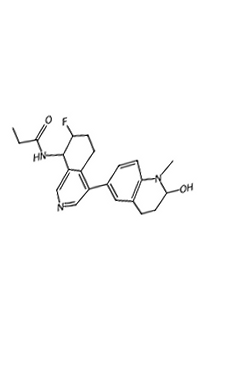 CCC(=O)NC1c2cncc(-c3ccc4c(c3)CCC(O)N4C)c2CCC1F